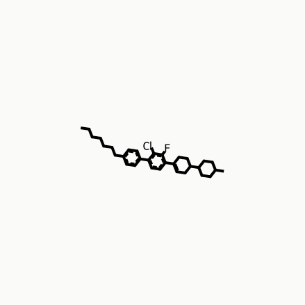 CCCCCCCc1ccc(-c2ccc(C3=CCC(C4CCC(C)CC4)CC3)c(F)c2Cl)cc1